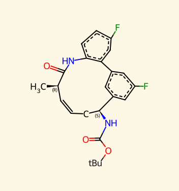 C[C@@H]1C=CC[C@H](NC(=O)OC(C)(C)C)c2cc(F)cc(c2)-c2cc(F)ccc2NC1=O